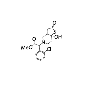 COC(=O)C(c1ccccc1Cl)N1CCC2(O)SC(=O)C=C2C1